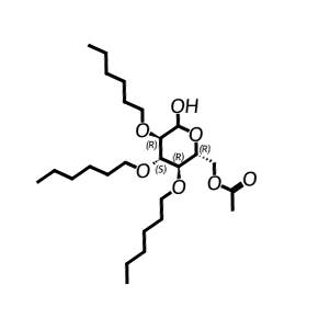 CCCCCCO[C@H]1[C@H](OCCCCCC)[C@@H](OCCCCCC)C(O)O[C@@H]1COC(C)=O